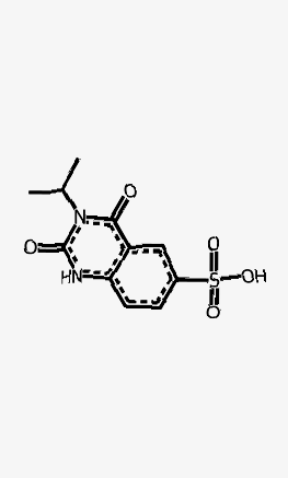 CC(C)n1c(=O)[nH]c2ccc(S(=O)(=O)O)cc2c1=O